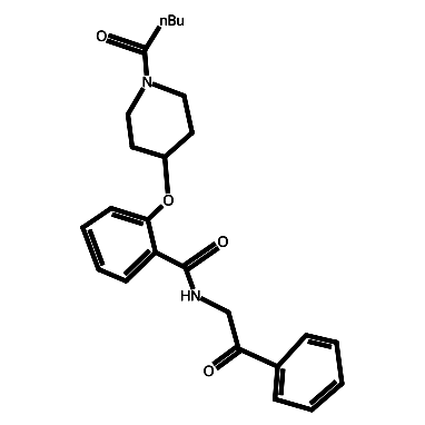 CCCCC(=O)N1CCC(Oc2ccccc2C(=O)NCC(=O)c2ccccc2)CC1